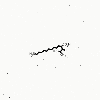 C=C(C)C(=O)C(CCCCCCCCCCN)C(=O)O